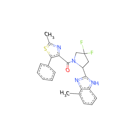 Cc1nc(C(=O)N2CC(F)(F)CC2c2nc3c(C)cccc3[nH]2)c(-c2ccccc2)s1